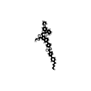 CCCCCC1CCC(c2ccc(C(=O)Oc3ccc(-c4ccc5c6c(c(C(=O)OCC)cc5c4)C=CC(c4ccccc4)(c4ccc(N5CCCC5)cc4)O6)cc3)cc2)CC1